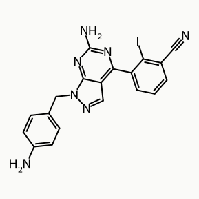 N#Cc1cccc(-c2nc(N)nc3c2cnn3Cc2ccc(N)cc2)c1I